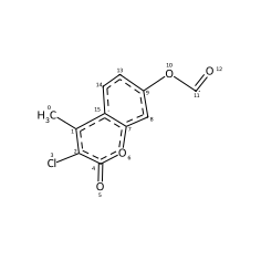 Cc1c(Cl)c(=O)oc2cc(O[C]=O)ccc12